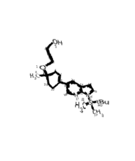 CC1(OCCO)CC=C(c2cnc3c(ccn3[Si](C)(C)C(C)(C)C)c2)CC1